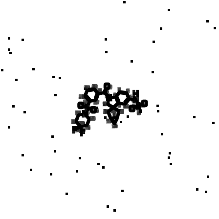 CS(=O)(=O)Nc1ccc2c(c1)C1(CC3CC3C1)CN2C(=O)c1cccc(S(=O)(=O)N2CCC(F)(F)CC2)c1